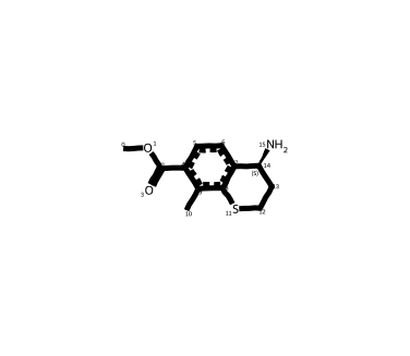 COC(=O)c1ccc2c(c1C)SCC[C@@H]2N